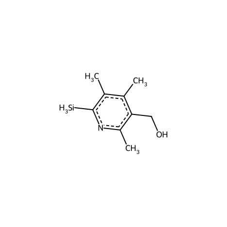 Cc1nc([SiH3])c(C)c(C)c1CO